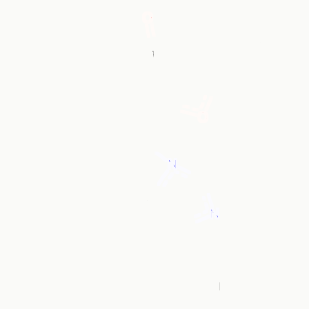 Cc1cccc2c1ncn2Cc1oc2ccccc2c(=O)c1-c1ccccc1